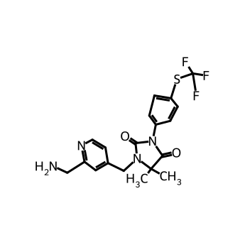 CC1(C)C(=O)N(c2ccc(SC(F)(F)F)cc2)C(=O)N1Cc1ccnc(CN)c1